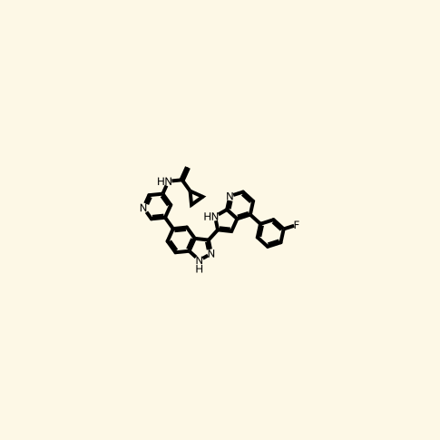 C=C(Nc1cncc(-c2ccc3[nH]nc(-c4cc5c(-c6cccc(F)c6)ccnc5[nH]4)c3c2)c1)C1CC1